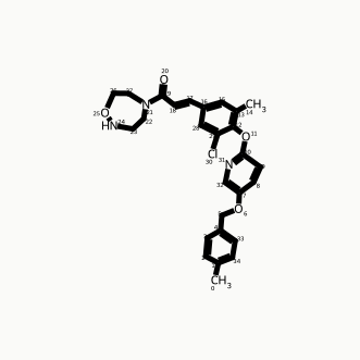 Cc1ccc(COc2ccc(Oc3c(C)cc(C=CC(=O)N4CCNOCC4)cc3Cl)nc2)cc1